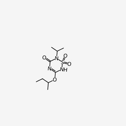 CCC(C)OC1=NC(=O)N(C(C)C)S(=O)(=O)N1